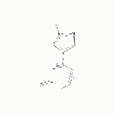 C=C/C=C(\C=C/C)c1cnn(C)c1